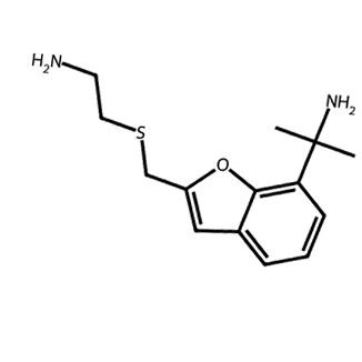 CC(C)(N)c1cccc2cc(CSCCN)oc12